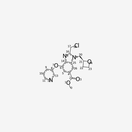 COC(=O)c1cc(Oc2cccnc2)c2nc(CCl)n(C[C@@H]3CCO3)c2c1